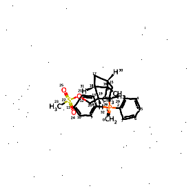 C=P(c1ccccc1)(c1ccccc1)[C@H]1C[C@H]2C[C@@H]([C@H]1COS(C)(=O)=O)C2(C)C